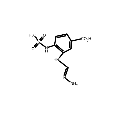 CS(=O)(=O)Nc1ccc(C(=O)O)cc1NC=NN